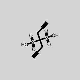 C#CCC(CC#C)(S(=O)(=O)O)S(=O)(=O)O